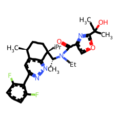 CCN(C(=O)c1coc(C(C)(C)O)n1)[C@H](C)[C@@]1(C(C)C)CC[C@H](C)c2cc(-c3c(F)cccc3F)nnc21